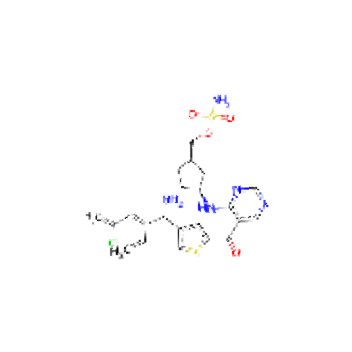 C=C/C(=C\C(=C)Cl)C(N)c1csc(C(=O)c2cncnc2N[C@H]2CC[C@@H](COS(N)(=O)=O)C2)c1